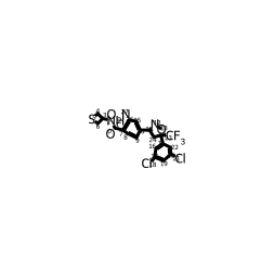 O=C(NC1CSC1)c1ccc(C2=NOC(c3cc(Cl)cc(Cl)c3)(C(F)(F)F)C2)cc1[N+](=O)[O-]